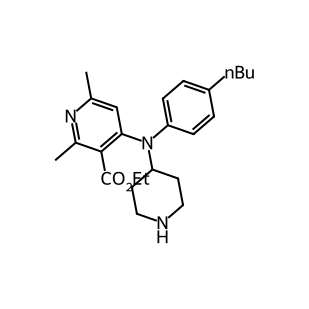 CCCCc1ccc(N(c2cc(C)nc(C)c2C(=O)OCC)C2CCNCC2)cc1